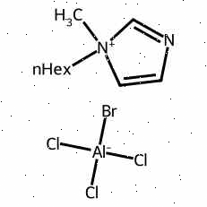 CCCCCC[N+]1(C)C=CN=C1.[Cl][Al-]([Cl])([Cl])[Br]